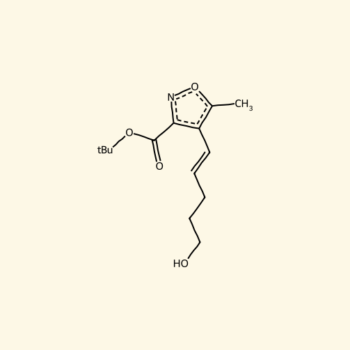 Cc1onc(C(=O)OC(C)(C)C)c1/C=C/CCCO